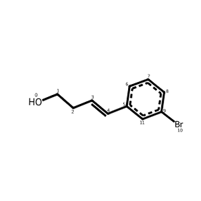 OCCC=Cc1cccc(Br)c1